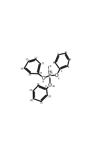 I[PH](Oc1ccccc1)(Oc1ccccc1)Oc1ccccc1